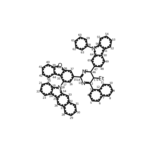 CCC1C(c2cccc3ccccc23)=NC(c2cc(-n3c4ccccc4c4cc5ccccc5cc43)c3c(c2)oc2ccccc23)=NC1c1ccc2c3ccccc3n(-c3ccccc3)c2c1